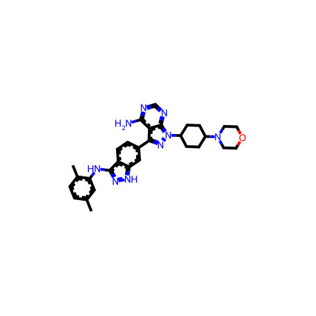 Cc1ccc(C)c(Nc2n[nH]c3cc(-c4nn(C5CCC(N6CCOCC6)CC5)c5ncnc(N)c45)ccc23)c1